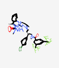 CNC(=O)N[C@H](C)c1ccccc1N1CCN(CC[C@H](CN(C)C(=O)c2cc(C(F)(F)F)cc(C(F)(F)F)c2)c2ccc(Cl)cc2)CC1